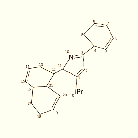 CC(C)C1=CC(C2C=CC=CC2)=NC1C1CC=CC2CCC=CC21